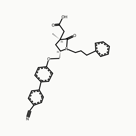 C[C@@]1(CC(=O)O)C[C@@H](COc2ccc(-c3ccc(C#N)cc3)cc2)N(CCCc2ccccc2)C1=O